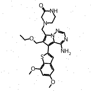 CCOCc1c(-c2cc3cc(OC)cc(OC)c3s2)c2c(N)ncnn2c1CN1CCNC(=O)C1